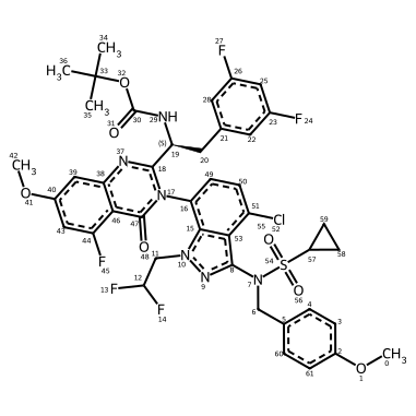 COc1ccc(CN(c2nn(CC(F)F)c3c(-n4c([C@H](Cc5cc(F)cc(F)c5)NC(=O)OC(C)(C)C)nc5cc(OC)cc(F)c5c4=O)ccc(Cl)c23)S(=O)(=O)C2CC2)cc1